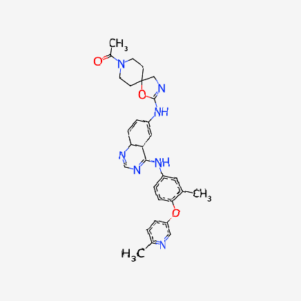 CC(=O)N1CCC2(CC1)CN=C(NC1=CC3C(Nc4ccc(Oc5ccc(C)nc5)c(C)c4)=NC=NC3C=C1)O2